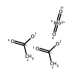 CC(=O)[O-].CC(=O)[O-].[O]=[Mo+2]=[O]